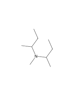 CCC(C)N(C)C(C)CC